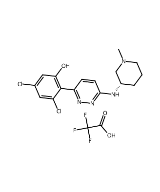 CN1CCC[C@H](Nc2ccc(-c3c(O)cc(Cl)cc3Cl)nn2)C1.O=C(O)C(F)(F)F